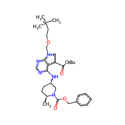 CC(C)COC(=O)c1cn(COCC[Si](C)(C)C)c2ncnc(N[C@@H]3CC[C@H](C)N(C(=O)OCc4ccccc4)C3)c12